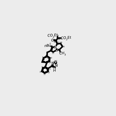 CCCCC1=C(Cc2ccc(-c3ccccc3-c3nnn[nH]3)cc2)CN2C(C)CCC(C(=O)C(C(=O)OCC)C(=O)OCC)N12